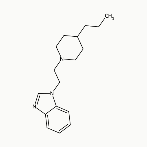 CCCC1CCN(CCn2cnc3ccccc32)CC1